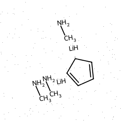 CN.CN.CN.[CH]1C=CC=C1.[LiH].[LiH]